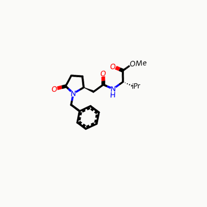 COC(=O)[C@@H](NC(=O)C[C@@H]1CCC(=O)N1Cc1ccccc1)C(C)C